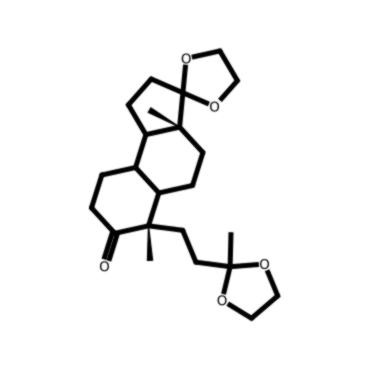 CC1(CC[C@]2(C)C(=O)CCC3C2CC[C@]2(C)C3CCC23OCCO3)OCCO1